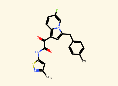 Cc1cc(NC(=O)C(=O)c2cc(Cc3ccc(C#N)cc3)n3cc(F)ccc23)sn1